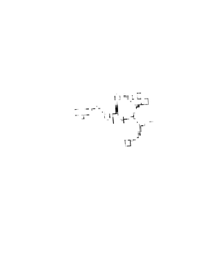 COC(=O)C(NC(=O)OCC(Cl)(Cl)Cl)/C(C)=C\Cl